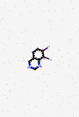 Ic1ccc2cncnc2c1I